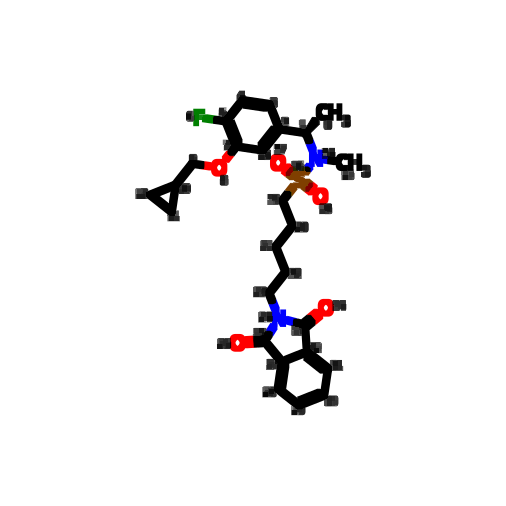 C[C@H](c1ccc(F)c(OCC2CC2)c1)N(C)S(=O)(=O)CCCCCN1C(=O)c2ccccc2C1=O